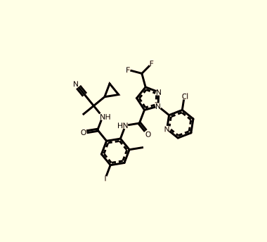 Cc1cc(I)cc(C(=O)NC(C)(C#N)C2CC2)c1NC(=O)c1cc(C(F)F)nn1-c1ncccc1Cl